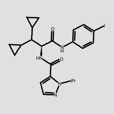 CC(C)n1nccc1C(=O)N[C@H](C(=O)Nc1ccc(I)cc1)C(C1CC1)C1CC1